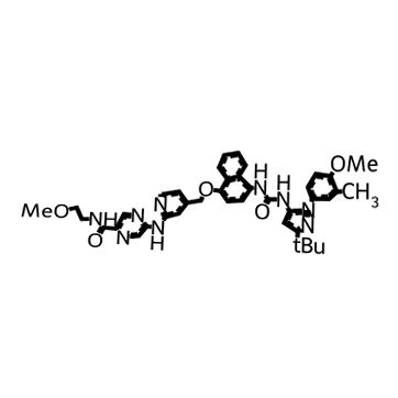 COCCNC(=O)c1cnc(Nc2cc(COc3ccc(NC(=O)Nc4cc(C(C)(C)C)nn4-c4ccc(OC)c(C)c4)c4ccccc34)ccn2)cn1